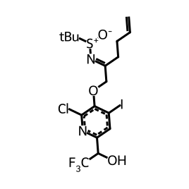 C=CCCC(COc1c(I)cc(C(O)C(F)(F)F)nc1Cl)=N[S+]([O-])C(C)(C)C